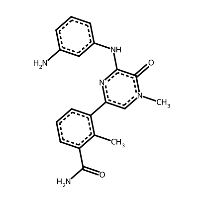 Cc1c(C(N)=O)cccc1-c1cn(C)c(=O)c(Nc2cccc(N)c2)n1